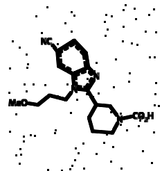 COCCCn1c(C2CCCN(C(=O)O)C2)nc2ccc(C#N)cc21